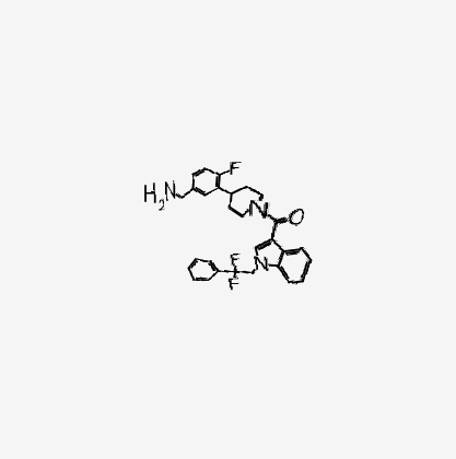 NCc1ccc(F)c(C2CCN(C(=O)c3cn(CC(F)(F)c4ccccc4)c4ccccc34)CC2)c1